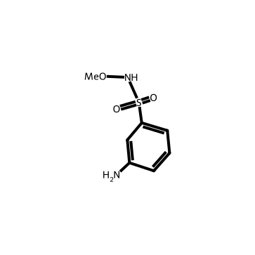 CONS(=O)(=O)c1cccc(N)c1